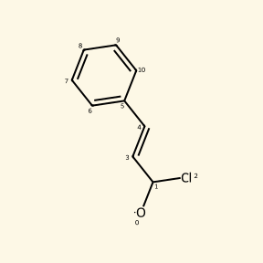 [O]C(Cl)C=Cc1ccccc1